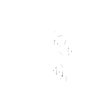 Cc1nn(C)cc1-c1cnc2ccc(O)nc2c1